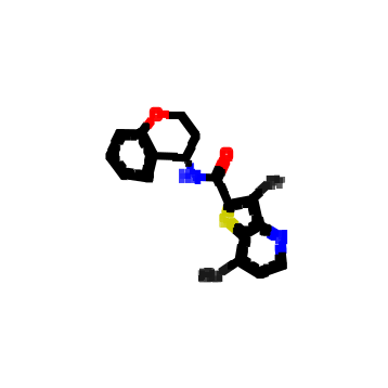 CC(C)c1c(C(=O)N[C@H]2CCOc3ccccc32)sc2c(C(C)(C)C)ccnc12